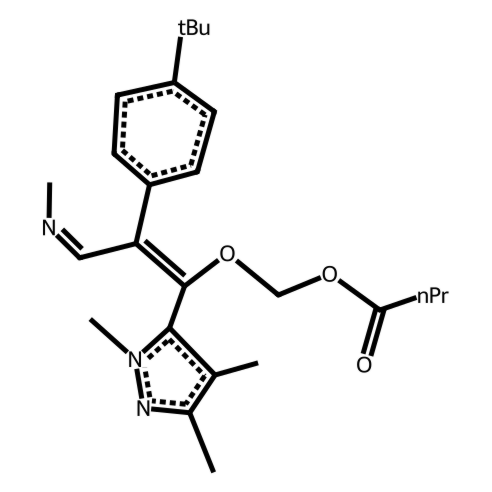 CCCC(=O)OCO/C(=C(/C=N\C)c1ccc(C(C)(C)C)cc1)c1c(C)c(C)nn1C